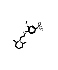 COc1cc([N+](=O)[O-])ccc1OCCN1C(C)CCCC1C